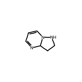 C1=CN2NCCC2N=C1